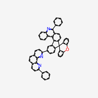 c1ccc(-c2ccc3ccc4ccc(-c5ccc6c(c5)-c5c(ccc7c(-c8ccccc8)nc8ccccc8c57)C65c6ccccc6Oc6ccccc65)nc4c3n2)cc1